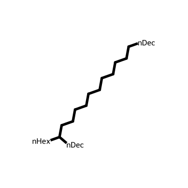 [CH2]CCCCCC(CCCCCCCCCC)CCCCCCCCCCCCCCCCCCCCC